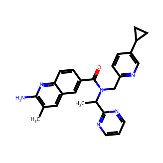 Cc1cc2cc(C(=O)N(Cc3ccc(C4CC4)cn3)C(C)c3ncccn3)ccc2nc1N